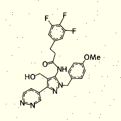 COc1ccc(Cn2nc(-c3ccnnc3)c(CO)c2NC(=O)CCc2cc(F)c(F)c(F)c2)cc1